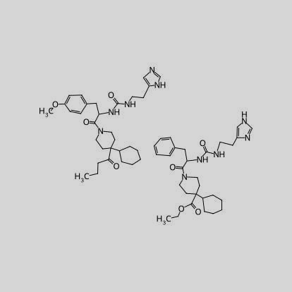 CCCC(=O)C1(C2CCCCC2)CCN(C(=O)C(Cc2ccc(OC)cc2)NC(=O)NCCc2cnc[nH]2)CC1.CCOC(=O)C1(C2CCCCC2)CCN(C(=O)C(Cc2ccccc2)NC(=O)NCCc2c[nH]cn2)CC1